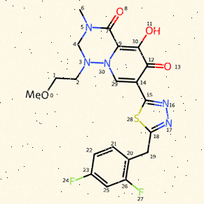 COCCN1CN(C)C(=O)c2c(O)c(=O)c(-c3nnc(Cc4ccc(F)cc4F)s3)cn21